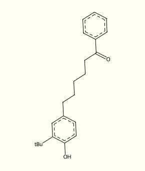 CC(C)(C)c1cc(CCCCCC(=O)c2ccccc2)ccc1O